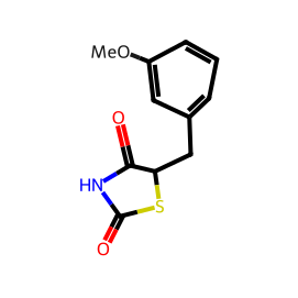 COc1cccc(CC2SC(=O)NC2=O)c1